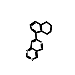 c1cc2c(c(-c3cc4ncncc4cn3)c1)CCCC2